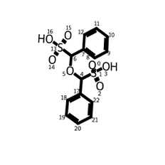 O=S(=O)(O)C(OC(c1ccccc1)S(=O)(=O)O)c1ccccc1